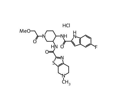 COCC(=O)N1CCC(NC(=O)c2cc3cc(F)ccc3[nH]2)C(NC(=O)c2nc3c(s2)CN(C)CC3)C1.Cl